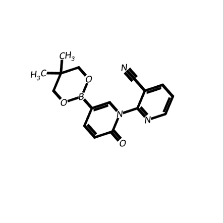 CC1(C)COB(c2ccc(=O)n(-c3ncccc3C#N)c2)OC1